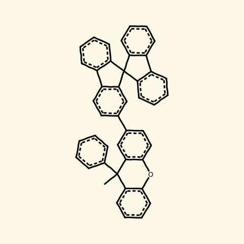 CC1(c2ccccc2)c2ccccc2Oc2ccc(-c3ccc4c(c3)C3(c5ccccc5-c5ccccc53)c3ccccc3-4)cc21